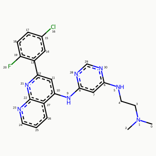 CN(C)CCNc1cc(Nc2cc(-c3cc(Cl)ccc3F)nc3ncccc23)ncn1